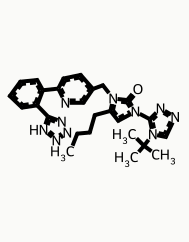 CCCCc1cn(-c2nncn2C(C)(C)C)c(=O)n1Cc1ccc(-c2ccccc2-c2nnn[nH]2)nc1